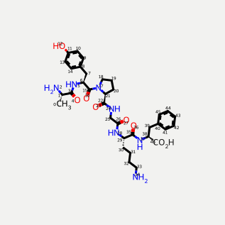 C[C@H](N)C(=O)N[C@@H](Cc1ccc(O)cc1)C(=O)N1CCC[C@H]1C(=O)NCC(=O)N[C@@H](CCCCN)C(=O)N[C@@H](Cc1ccccc1)C(=O)O